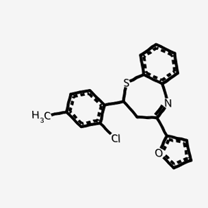 Cc1ccc(C2CC(c3ccco3)=Nc3ccccc3S2)c(Cl)c1